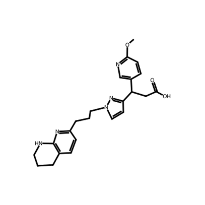 COc1ccc(C(CC(=O)O)c2ccn(CCCc3ccc4c(n3)NCCC4)n2)cn1